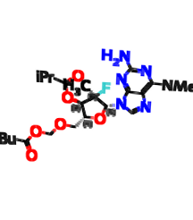 CNc1nc(N)nc2c1ncn2[C@@H]1O[C@H](COCOC(=O)C(C)(C)C)[C@@H](OC(=O)C(C)C)[C@@]1(C)F